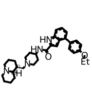 CCOc1ccc(-c2cccc3[nH]c(C(=O)NC4CCN(C[C@@H]5CCCN6CCCC[C@H]56)CC4)cc23)cc1